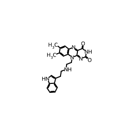 Cc1cc2nc3c(=O)[nH]c(=O)nc-3n(CCNCCc3c[nH]c4ccccc34)c2cc1C